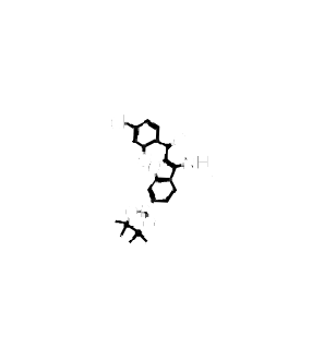 CC1(C)OB(c2ccc3c(N)c(C(=O)c4ccc(Cl)cc4Cl)oc3c2)OC1(C)C